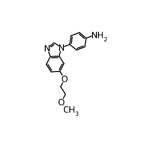 COCCOc1ccc2ncn(-c3ccc(N)cc3)c2c1